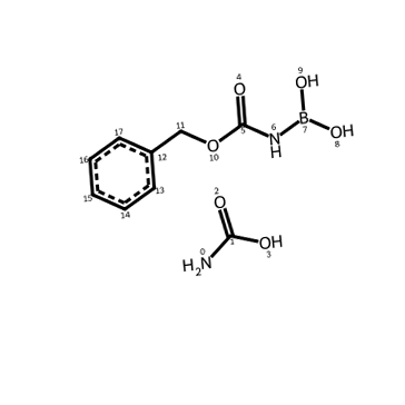 NC(=O)O.O=C(NB(O)O)OCc1ccccc1